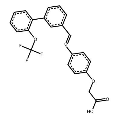 O=C(O)COc1ccc(N=Cc2cccc(-c3ccccc3OC(F)(F)F)c2)cc1